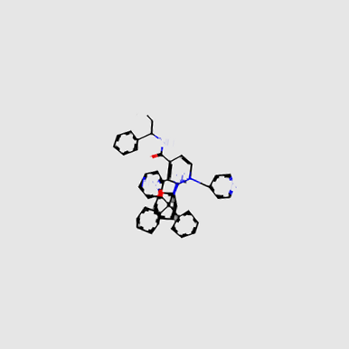 CCC(NC(=O)C1=C2Nc3ccccc3C23C(C=C1)N(c1ccncc1)CN3C(c1ccccc1)(c1ccccc1)c1ccccc1)c1ccccc1